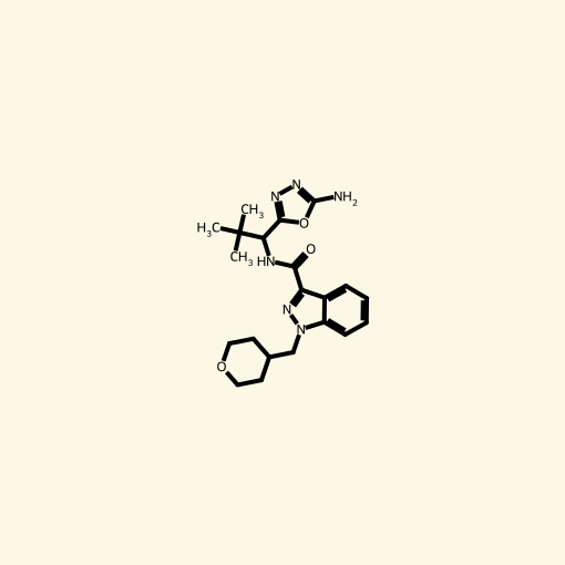 CC(C)(C)C(NC(=O)c1nn(CC2CCOCC2)c2ccccc12)c1nnc(N)o1